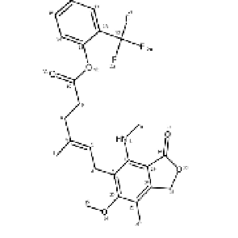 CNc1c(C/C=C(\C)CCC(=O)Oc2ccccc2C(F)(F)F)c(OC)c(C)c2c1C(=O)OC2